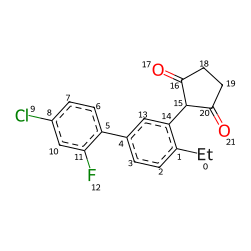 CCc1ccc(-c2ccc(Cl)cc2F)cc1C1C(=O)CCC1=O